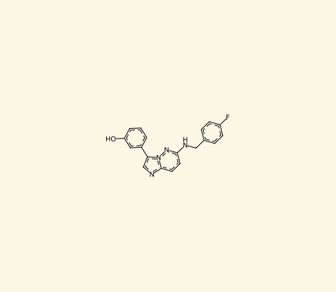 Oc1cccc(-c2cnc3ccc(NCc4ccc(F)cc4)nn23)c1